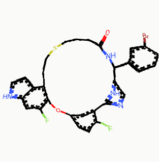 O=C1CCCSCCc2c(c(F)cc3[nH]ccc23)Oc2ccc(F)c(c2)-c2ncc([nH]2)C(c2cccc(Br)c2)N1